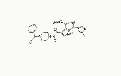 COc1cnc(-n2cnc(C)c2)c2[nH]cc(C(=O)C(=O)N3CCN(C(=O)c4ccccc4)CC3)c12